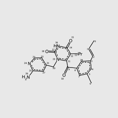 C/C=C/c1cc(C)cc(C(=O)c2c(C(C)C)c(=O)[nH]c(=O)n2Cc2ccnc(N)c2)c1